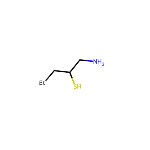 CCCC(S)CN